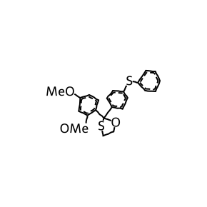 COc1ccc(C2(c3ccc(Sc4ccccc4)cc3)OCCS2)c(OC)c1